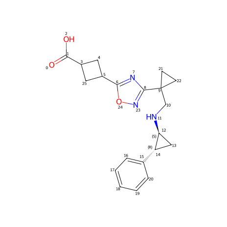 O=C(O)C1CC(c2nc(C3(CN[C@H]4C[C@@H]4c4ccccc4)CC3)no2)C1